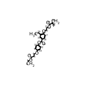 C=COC(=O)CCOc1ccc(OC(=O)c2ccc(OCCOC(=O)C(=C)F)c(CC)c2)cc1